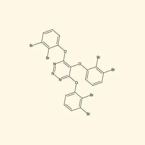 Brc1cccc(Oc2nnnc(Oc3cccc(Br)c3Br)c2Oc2cccc(Br)c2Br)c1Br